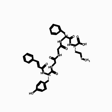 CSCC[C@H](NC(=O)[C@H](Cc1ccccc1)NC(=O)CNC(=O)CNC(=O)[C@H](Cc1ccc(O)cc1)NC(=O)C=Cc1ccccc1)C(=O)O